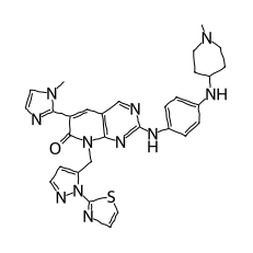 CN1CCC(Nc2ccc(Nc3ncc4cc(-c5nccn5C)c(=O)n(Cc5ccnn5-c5nccs5)c4n3)cc2)CC1